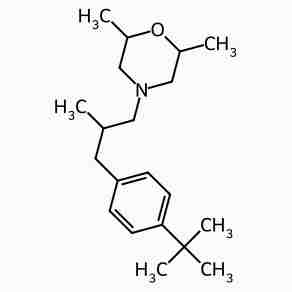 CC(Cc1ccc(C(C)(C)C)cc1)CN1CC(C)OC(C)C1